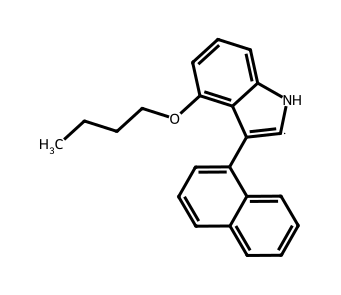 CCCCOc1cccc2[nH][c]c(-c3cccc4ccccc34)c12